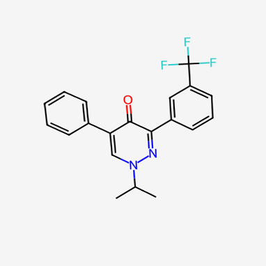 CC(C)n1cc(-c2ccccc2)c(=O)c(-c2cccc(C(F)(F)F)c2)n1